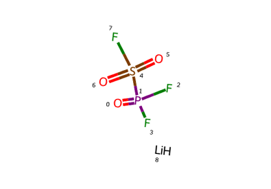 O=P(F)(F)S(=O)(=O)F.[LiH]